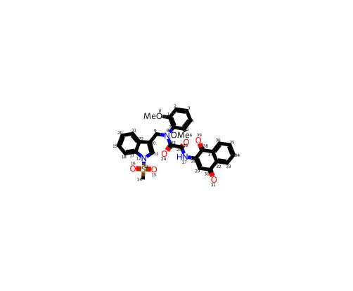 COc1cccc(OC)c1N(Cc1cn(S(C)(=O)=O)c2ccccc12)C(=O)C(=O)NC1=CC(=O)c2ccccc2C1=O